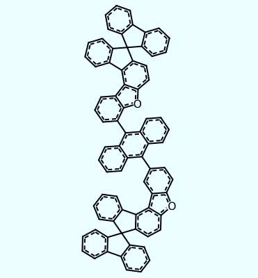 c1ccc2c(c1)-c1ccccc1C21c2ccccc2-c2c1ccc1oc3ccc(-c4c5ccccc5c(-c5cccc6c5oc5ccc7c(c56)-c5ccccc5C75c6ccccc6-c6ccccc65)c5ccccc45)cc3c21